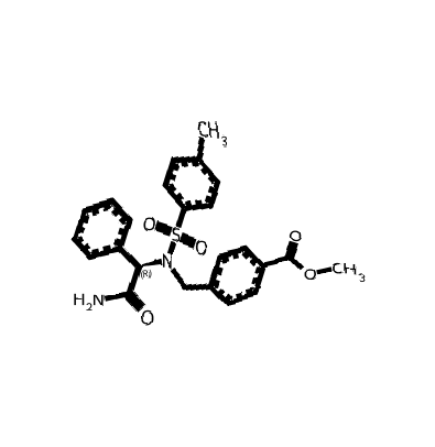 COC(=O)c1ccc(CN([C@@H](C(N)=O)c2ccccc2)S(=O)(=O)c2ccc(C)cc2)cc1